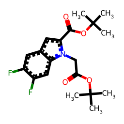 CC(C)(C)OC(=O)Cn1c(C(=O)OC(C)(C)C)cc2cc(F)c(F)cc21